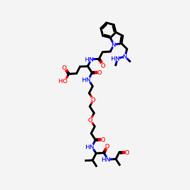 CNN(C)Cc1cc2ccccc2n1CCC(=O)NC(CCC(=O)O)C(=O)NCCOCCOCCC(=O)NC(C(=O)NC(C)C=O)C(C)C